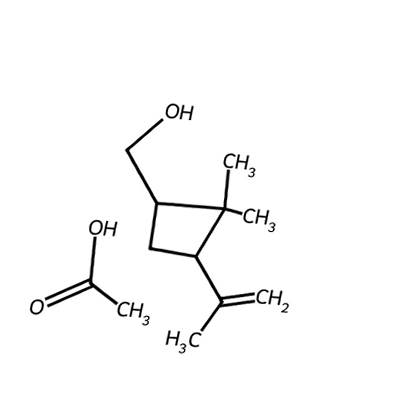 C=C(C)C1CC(CO)C1(C)C.CC(=O)O